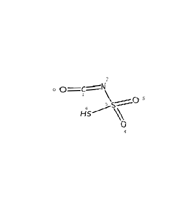 O=C=NS(=O)(=O)S